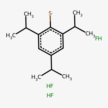 CC(C)c1cc(C(C)C)c([S])c(C(C)C)c1.F.F.F